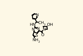 CC(Nc1nc(C(=O)N2CC(O)C2)c2sc(N)cc2n1)c1cccnc1